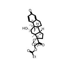 CCOC(=O)O[C@]1(C(=O)COC(=O)CC)CC[C@H]2[C@@H]3CCC4=CC(=O)C=C[C@]4(C)[C@@]3(F)[C@@H](O)C[C@@]21C